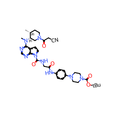 C[C@@H]1CCN(C(=O)CC#N)C[C@@H]1N(C)c1ncnc2c1ccn2C(=O)NCC(=O)Nc1ccc(N2CCN(C(=O)OC(C)(C)C)CC2)cc1